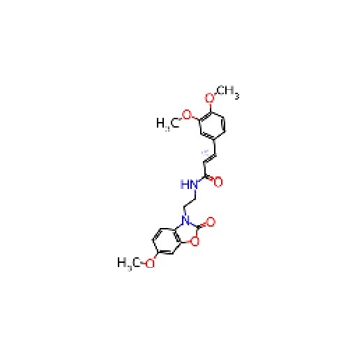 COc1ccc2c(c1)oc(=O)n2CCNC(=O)/C=C/c1ccc(OC)c(OC)c1